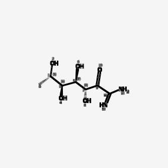 C[C@H](O)[C@H](O)[C@@H](O)[C@@H](O)C(=O)C(=N)N